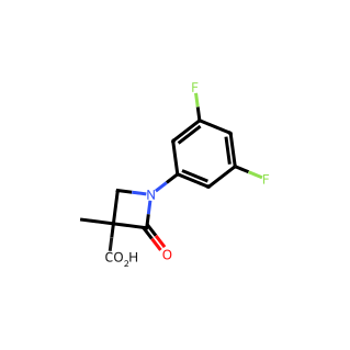 CC1(C(=O)O)CN(c2cc(F)cc(F)c2)C1=O